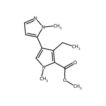 CCc1c(-c2ccnn2C)cn(C)c1C(=O)OC